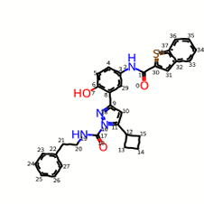 O=C(Nc1ccc(O)c(-c2cc(C3CCC3)n(C(=O)NCCc3ccccc3)n2)c1)c1cc2ccccc2s1